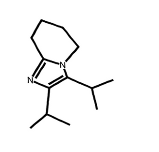 CC(C)c1nc2n(c1C(C)C)CCCC2